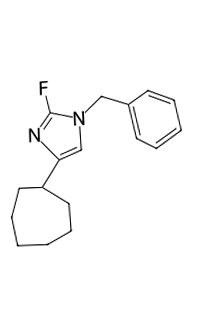 Fc1nc(C2CCCCCC2)cn1Cc1ccccc1